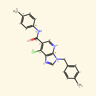 Cc1ccc(Cn2cnc3c(Cl)c(C(=O)Nc4ccc(C)cc4)cnc32)cc1